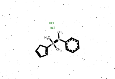 C[Si](c1ccccc1)=[Zr]([CH3])([CH3])[C]1=CC=CC1.Cl.Cl